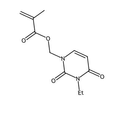 C=C(C)C(=O)OCn1ccc(=O)n(CC)c1=O